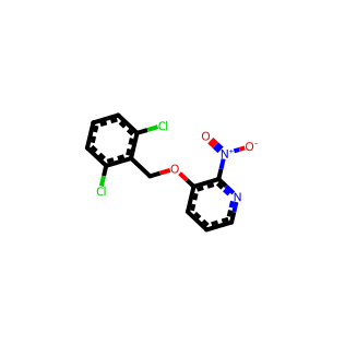 O=[N+]([O-])c1ncccc1OCc1c(Cl)cccc1Cl